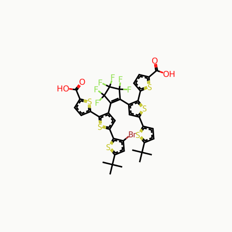 CC(C)(C)c1ccc(-c2cc(C3=C(c4cc(-c5sc(C(C)(C)C)cc5Br)sc4-c4ccc(C(=O)O)s4)C(F)(F)C(F)(F)C3(F)F)c(-c3ccc(C(=O)O)s3)s2)s1